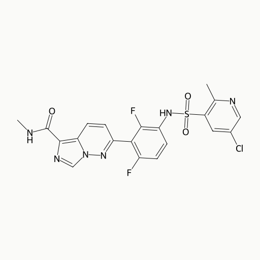 CNC(=O)c1ncn2nc(-c3c(F)ccc(NS(=O)(=O)c4cc(Cl)cnc4C)c3F)ccc12